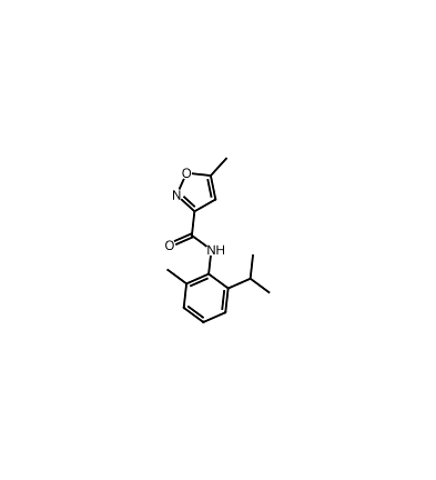 Cc1cc(C(=O)Nc2c(C)cccc2C(C)C)no1